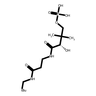 CC(C)(C)CNC(=O)CCNC(=O)[C@@H](O)C(C)(C)COP(=O)(O)O